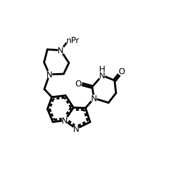 CCCN1CCN(Cc2ccn3ncc(N4CCC(=O)NC4=O)c3c2)CC1